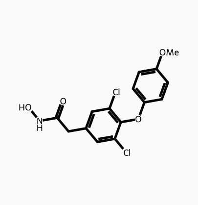 COc1ccc(Oc2c(Cl)cc(CC(=O)NO)cc2Cl)cc1